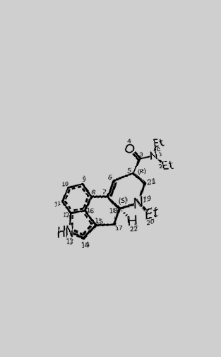 CCN(CC)C(=O)[C@@H]1C=C2c3cccc4[nH]cc(c34)C[C@@H]2N(CC)C1